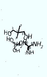 CC(C)(CO)CO.N=C(N)N.OB(O)O